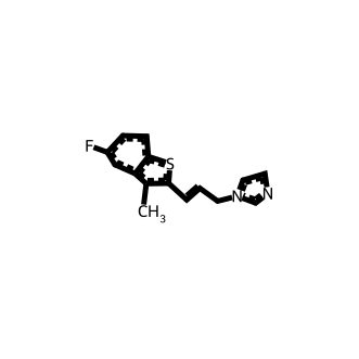 Cc1c(C=CCn2ccnc2)sc2ccc(F)cc12